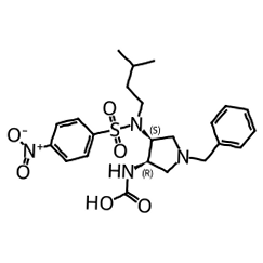 CC(C)CCN([C@H]1CN(Cc2ccccc2)C[C@H]1NC(=O)O)S(=O)(=O)c1ccc([N+](=O)[O-])cc1